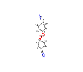 N#Cc1ccc(OOc2ccc(C#N)cc2)cc1